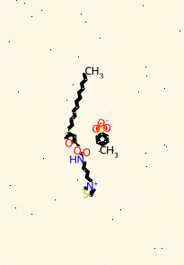 CCCCCCCCCCCCCC[C@H]1CO[C@H](COC(=O)NCCCCC[n+]2ccsc2)C1.Cc1ccc(S(=O)(=O)[O-])cc1